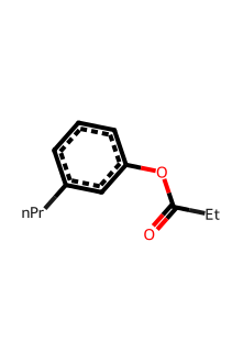 CCCc1cccc(OC(=O)CC)c1